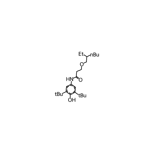 CCCCC(CC)COCCC(=O)Nc1cc(C(C)(C)C)c(O)c(C(C)(C)C)c1